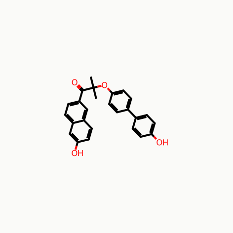 CC(C)(Oc1ccc(-c2ccc(O)cc2)cc1)C(=O)c1ccc2cc(O)ccc2c1